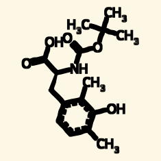 Cc1ccc(C[C@H](NC(=O)OC(C)(C)C)C(=O)O)c(C)c1O